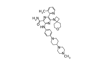 Cc1cccnc1-c1nc(C(N)=O)c(Nc2ccc(N3CCC(N4CCN(C)CC4)CC3)cc2)nc1N1CCC12CCOCC2